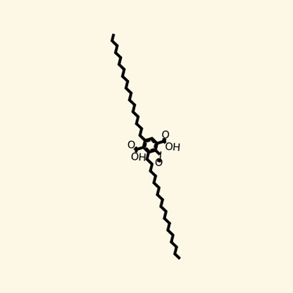 CCCCCCCCCCCCCCCCCCc1cc(C(=O)O)c(I=O)c(CCCCCCCCCCCCCCCCCC)c1C(=O)O